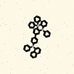 c1ccc(N2c3ccccc3[Si](c3ccccc3)(c3ccccc3)c3ccc(-c4ccc(N(c5ccccc5)c5cccc6ccccc56)cc4)cc32)cc1